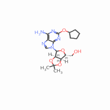 CC1(C)O[C@@H]2[C@@H](CO)OC(n3cnc4c(N)nc(OC5CCCC5)nc43)[C@@H]2O1